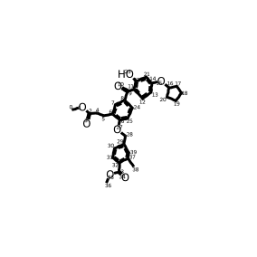 COC(=O)CCc1cc(C(=O)c2ccc(OC3CCCC3)cc2O)ccc1OCc1ccc(C(=O)OC)c(C)c1